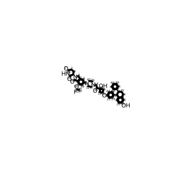 O=C1CCC(N2Cc3cc(N4CCN(CC(=O)C5(O)CC(Oc6ccc([C@@H]7c8ccc(O)cc8CC[C@@H]7c7ccccc7)cc6)C5)CC4)cc(OC(F)F)c3C2=O)C(=O)N1